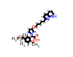 COc1c(F)cc(C(C)(C)OC)cc1[C@H](C(=O)O)N1CC[C@@H](OCCCCCc2ccc3c(n2)NCCC3)C1